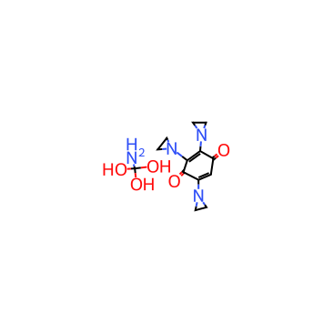 NC(O)(O)O.O=C1C=C(N2CC2)C(=O)C(N2CC2)=C1N1CC1